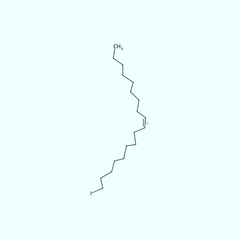 CCCCCCCC/C=C\CCCCCCCCI